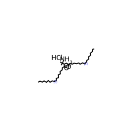 CCCCCCCC/C=C\CCCCCCCC(=O)CC(C(=O)CCCCCCC/C=C\CCCCCCCC)C(C)(C)C.Cl.N